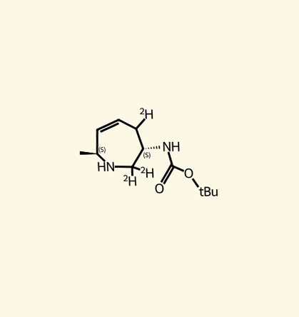 [2H]C1C=C[C@H](C)NC([2H])([2H])[C@H]1NC(=O)OC(C)(C)C